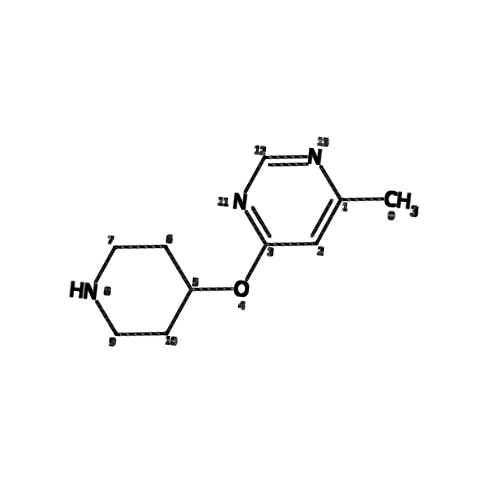 Cc1cc(OC2CCNCC2)ncn1